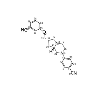 N#Cc1ccc(N2CCN3C[C@@H](COc4cccc(C#N)c4)C[C@H]3C2)cc1